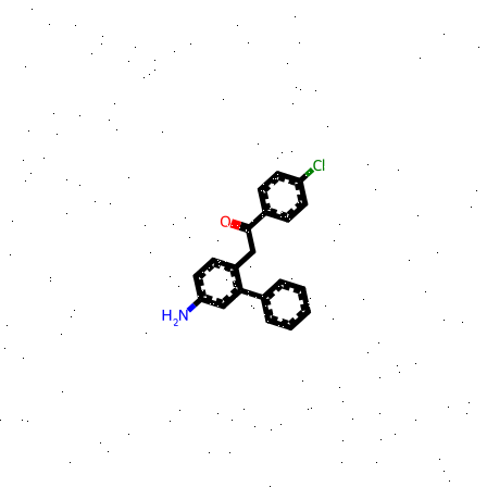 Nc1ccc(CC(=O)c2ccc(Cl)cc2)c(-c2ccccc2)c1